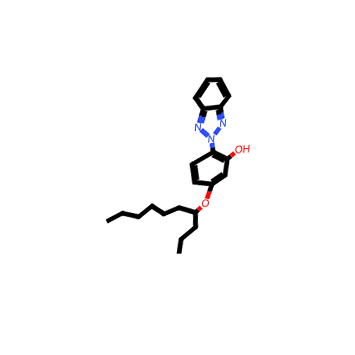 CCCCCCC(CCC)Oc1ccc(-n2nc3ccccc3n2)c(O)c1